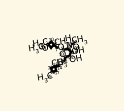 COC1(C)CC(C)(COC2OC(COCC3(C)CC(C)C3)C(O)C(O)C2NC(C)=O)C1